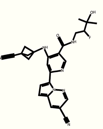 CC(C)(O)C(F)CNC(=O)c1cnc(-c2ccc3cc(C#N)cnn23)cc1NC12CC(C#N)(C1)C2